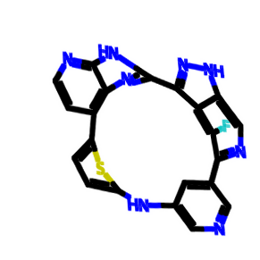 Fc1c2ncc3[nH]nc(c4nc5c(nccc5c5ccc([nH]c6cncc2c6)s5)[nH]4)c13